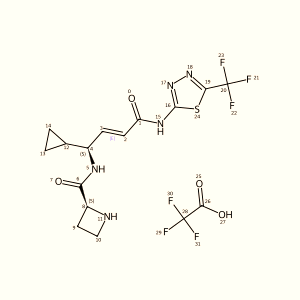 O=C(/C=C/[C@@H](NC(=O)[C@@H]1CCN1)C1CC1)Nc1nnc(C(F)(F)F)s1.O=C(O)C(F)(F)F